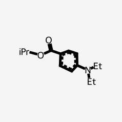 CCN(CC)c1ccc(C(=O)OC(C)C)cc1